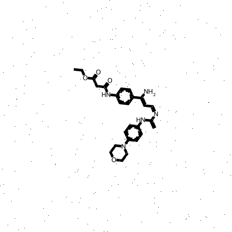 C=C(/N=C\C=C(/N)c1ccc(NC(=O)CC(=O)OCC)cc1)Nc1ccc(N2CCOCC2)cc1